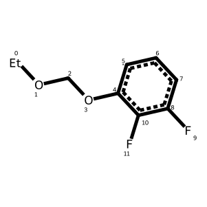 CCOCOc1[c]ccc(F)c1F